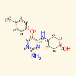 CC(C)c1ccc(Oc2cnc(N)nc2NC2CCC(O)CC2)cc1